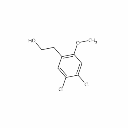 COc1cc(Cl)c(Cl)cc1CCO